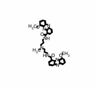 COc1cccc2nc3cccc(C(=O)NCCCN(C)CCCNC(=O)c4cccc5nc6cccc(OC)c6nc45)c3nc12